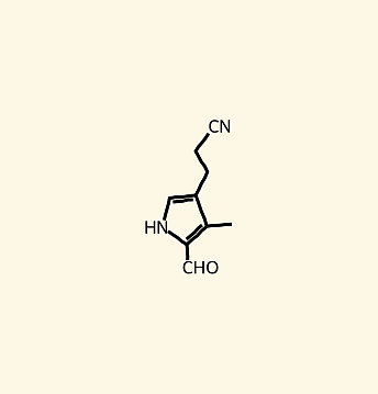 Cc1c(CCC#N)c[nH]c1C=O